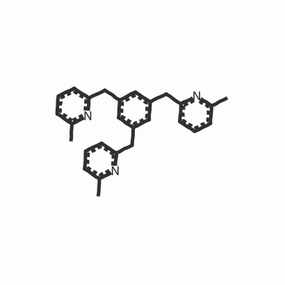 Cc1cccc(Cc2cc(Cc3cccc(C)n3)cc(Cc3cccc(C)n3)c2)n1